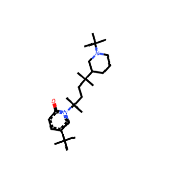 CC(C)(C)c1ccc(=O)n(C(C)(C)CCC(C)(C)C2CCCN(C(C)(C)C)C2)c1